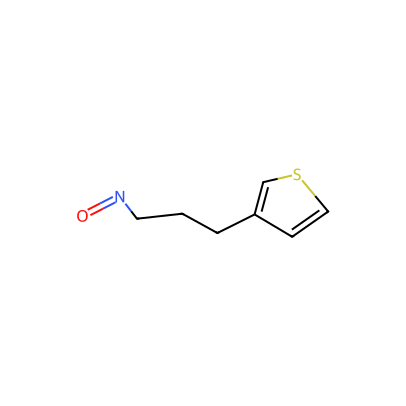 O=NCCCc1ccsc1